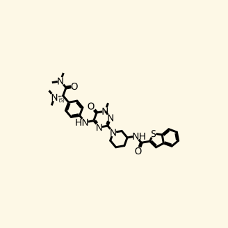 CN(C)C(=O)[C@H](c1ccc(Nc2nc(N3CCCC(NC(=O)c4cc5ccccc5s4)C3)nn(C)c2=O)cc1)N(C)C